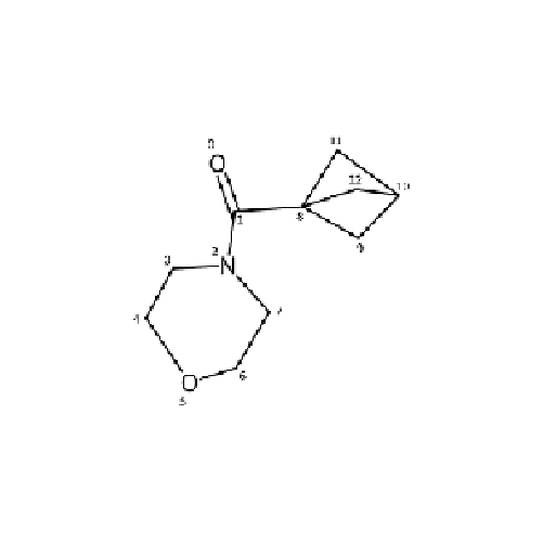 O=C(N1CCOCC1)C12CC(C1)C2